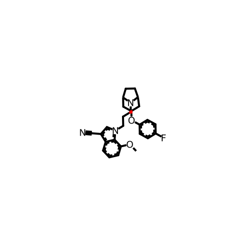 COc1cccc2c(C#N)cn(CCCN3C4CCC3CC(Oc3ccc(F)cc3)C4)c12